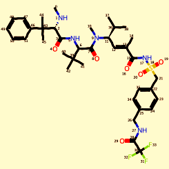 CN[C@H](C(=O)NC(C(=O)N(C)[C@H](/C=C(\C)C(=O)NS(=O)(=O)Cc1ccc(CNC(=O)C(F)(F)F)cc1)C(C)C)C(C)(C)C)C(C)(C)c1ccccc1